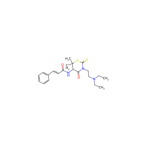 CCN(CC)CCN1C(=O)C(NC(=O)C=Cc2ccccc2)C(C)(C)SC1=S